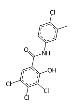 Cc1cc(NC(=O)c2cc(Cl)c(Cl)c(Cl)c2O)ccc1Cl